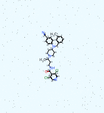 Cc1cccc(CN(c2ccc(C#N)cc2)C2CCN(C(C)CCNC(=O)c3c(Cl)cncc3Cl)CC2)c1